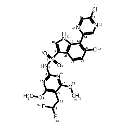 COc1nc(NS(=O)(=O)c2c[nH]c3c(-c4cnc(Cl)cn4)c(Cl)ccc23)nc(OC)c1CC(F)F